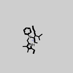 C=C=C=C(/C(=C\C)N(Cc1[nH]c(C=C)c(C)c1C)c1ccccc1)C(C)C